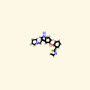 c1ccc(-c2nccs2)c(Oc2ccc3[nH]cc(CN4CCCC4)c3c2)c1